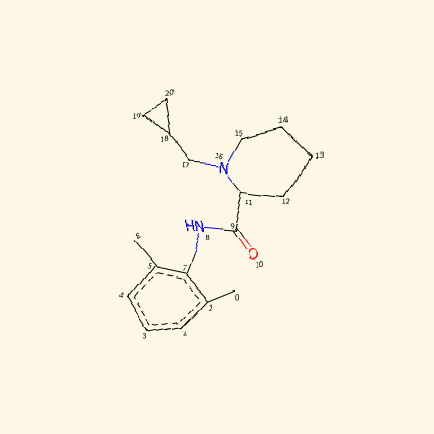 Cc1cccc(C)c1NC(=O)C1CCCCN1CC1CC1